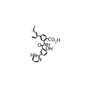 C=C/C(=C\C=C/C)c1ccc(C(=O)O)c(NC(=O)c2cc(C3=NC=CC=CN3)ccc2O)c1